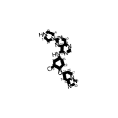 Clc1cc(Nc2ncnc3cnc(N4CCNCC4)nc23)ccc1Oc1ccn2ncnc2c1